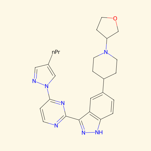 CCCc1cnn(-c2ccnc(-c3n[nH]c4ccc(C5CCN(C6CCOC6)CC5)cc34)n2)c1